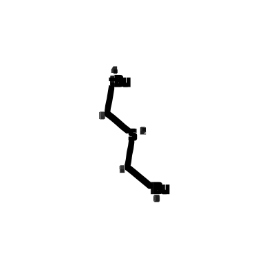 CCC(C)CSCC(C)(C)C